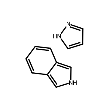 c1ccc2c[nH]cc2c1.c1cn[nH]c1